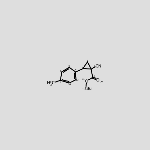 Cc1ccc(C2CC2(C#N)C(=O)OC(C)(C)C)cc1